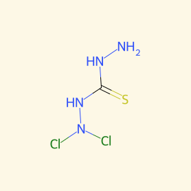 NNC(=S)NN(Cl)Cl